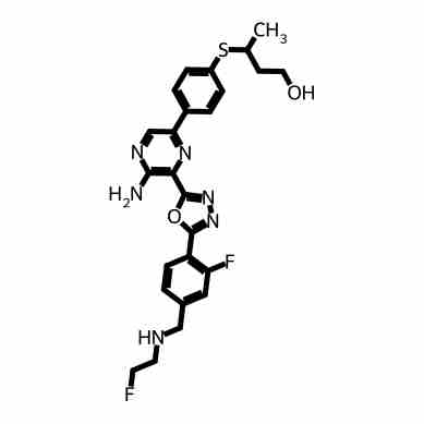 CC(CCO)Sc1ccc(-c2cnc(N)c(-c3nnc(-c4ccc(CNCCF)cc4F)o3)n2)cc1